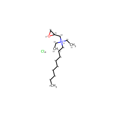 CCCCCCCCC[N+](CC)(CC)CC1CO1.[Cl-]